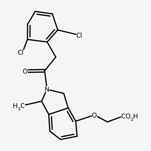 CC1c2cccc(OCC(=O)O)c2CN1C(=O)Cc1c(Cl)cccc1Cl